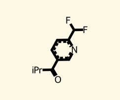 CC(C)C(=O)c1ccc(C(F)F)nc1